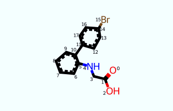 O=C(O)CNc1ccccc1-c1ccc(Br)cc1